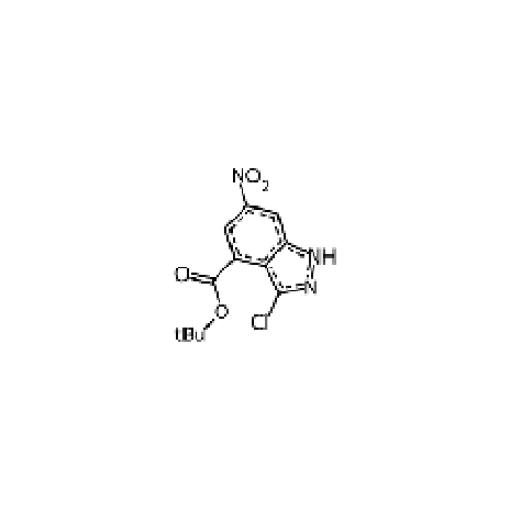 CC(C)(C)OC(=O)c1cc([N+](=O)[O-])cc2[nH]nc(Cl)c12